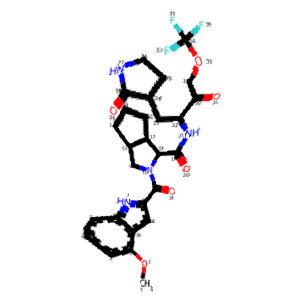 COc1cccc2[nH]c(C(=O)N3CC4CCCC4C3C(=O)NC(CC3CCNC3=O)C(=O)COC(F)(F)F)cc12